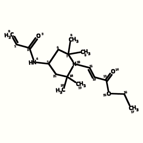 C=CC(=O)NC1CC(C)(C)N(/C=C/C(=O)OCC)C(C)(C)C1